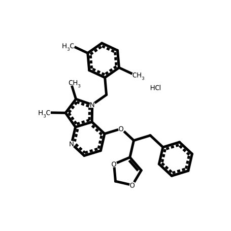 Cc1ccc(C)c(Cn2c(C)c(C)c3nccc(OC(Cc4ccccc4)C4=COCO4)c32)c1.Cl